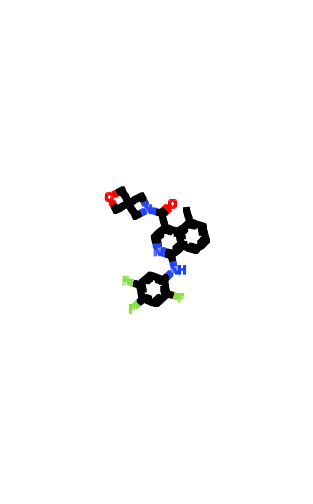 Cc1cccc2c(Nc3cc(F)c(F)cc3F)ncc(C(=O)N3CC4(COC4)C3)c12